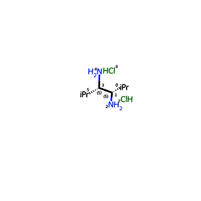 CC(C)[C@H](N)[C@@H](N)C(C)C.Cl.Cl